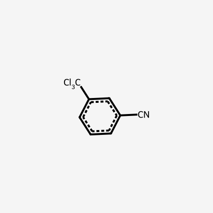 N#Cc1cccc(C(Cl)(Cl)Cl)c1